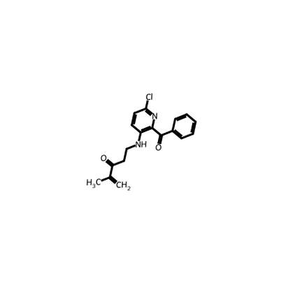 C=C(C)C(=O)CCNc1ccc(Cl)nc1C(=O)c1ccccc1